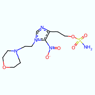 NS(=O)(=O)OCCc1ncn(CCN2CCOCC2)c1[N+](=O)[O-]